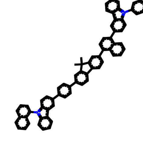 CC1(C)c2cc(-c3ccc(-c4ccc5c(c4)c4ccccc4n5-c4cccc5ccccc45)cc3)ccc2-c2ccc(-c3ccc(-c4ccc5c(c4)c4ccccc4n5-c4ccccc4)c4ccccc34)cc21